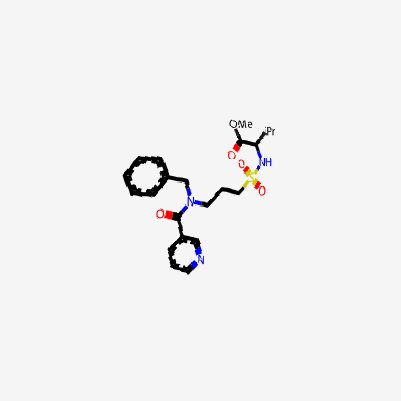 COC(=O)C(NS(=O)(=O)CCCN(Cc1ccccc1)C(=O)c1cccnc1)C(C)C